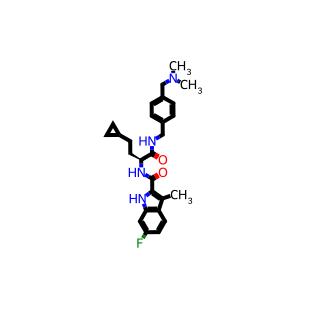 Cc1c(C(=O)N[C@@H](CCC2CC2)C(=O)NCc2ccc(CN(C)C)cc2)[nH]c2cc(F)ccc12